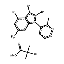 COC(=O)C(C)(C)S.Cc1nnccc1-n1c(Br)c(Br)c2c(Br)cc(C(F)(F)F)cc21